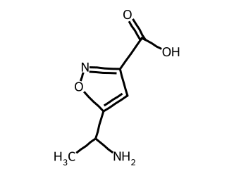 CC(N)c1cc(C(=O)O)no1